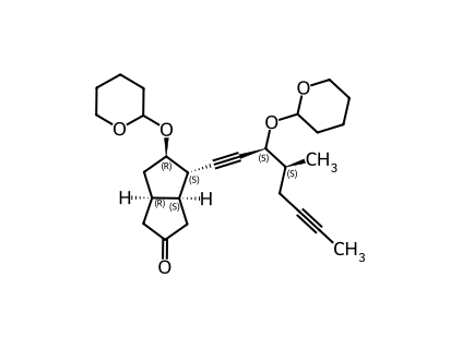 CC#CC[C@H](C)[C@@H](C#C[C@@H]1[C@H]2CC(=O)C[C@H]2C[C@H]1OC1CCCCO1)OC1CCCCO1